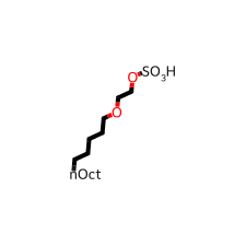 CCCCCCCCCCCCCOCCOS(=O)(=O)O